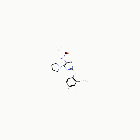 CCOC(=O)c1ccc(Nc2ncc(N(C)C(=O)[C@H](C)CC)c(N3CCCC3)n2)c(OC)c1